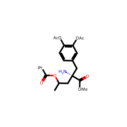 COC(=O)[C@](N)(Cc1ccc(OC(C)=O)c(OC(C)=O)c1)CC(C)OC(=O)C(C)C